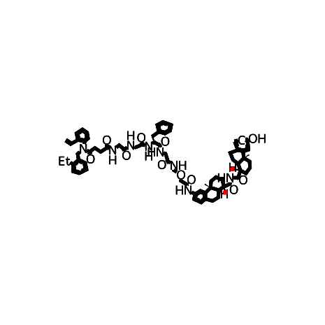 C=Cc1ccccc1N(Cc1ccccc1CC)C(=O)CCC(=O)NCC(=O)NCC(=O)N[C@@H](Cc1ccccc1)C(=O)NCC(=O)NCOCC(=O)Nc1ccc2c(c1)[C@@]1(C)CCC[C@](C)(C(=O)NC(=O)[C@@]3(C)CCC[C@]4(C)c5cc(O)ccc5CC[C@@H]34)[C@@H]1CC2